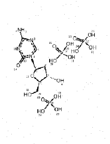 Nc1ncn([C@H]2C[C@H](O)[C@@H](CO)O2)c(=O)n1.O=P(O)(O)O.O=P(O)(O)O.O=P(O)(O)O